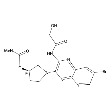 CNC(=O)O[C@@H]1CCN(c2nc3ncc(Br)cc3nc2NC(=O)CO)C1